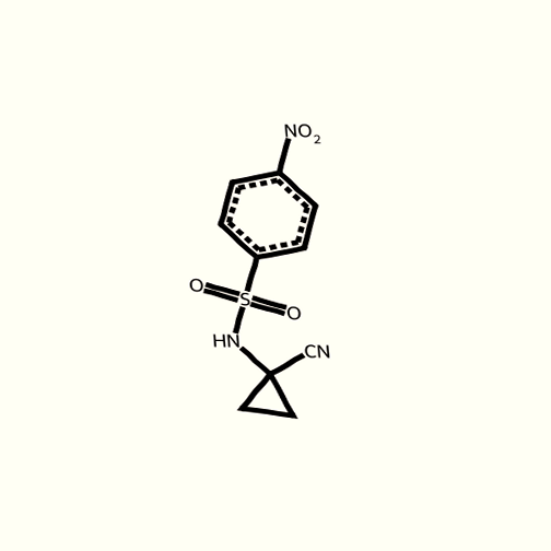 N#CC1(NS(=O)(=O)c2ccc([N+](=O)[O-])cc2)CC1